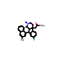 CNC(=O)CC1(c2ccc(F)cc2)CCN(C)C(C)C1C(C)c1cc(C#N)cc2ccccc12